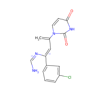 C=C(/C=C(\N=C/N)c1cccc(Cl)c1)n1ccc(=O)[nH]c1=O